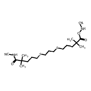 CC(C)(CCCSCCCSCCCC(C)(C)C(=O)ONC#N)C(=O)NC#N